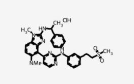 CNc1ccc2c(nc(NC(C)c3ccccc3)n2C)c1-c1ccnc(Nc2cccc(CCS(C)(=O)=O)c2)n1.Cl